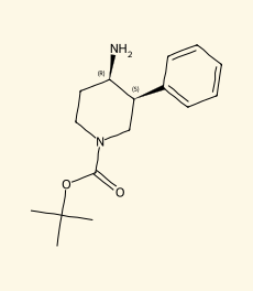 CC(C)(C)OC(=O)N1CC[C@@H](N)[C@@H](c2ccccc2)C1